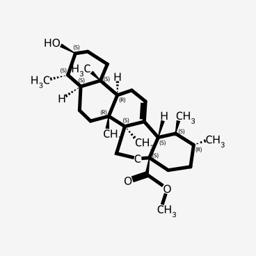 COC(=O)[C@]12CC[C@@H](C)[C@H](C)[C@H]1C1=CC[C@@H]3[C@@]4(C)CC[C@H](O)[C@@H](C)[C@@H]4CC[C@@]3(C)[C@]1(C)CC2